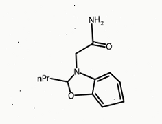 CCCC1Oc2ccccc2N1CC(N)=O